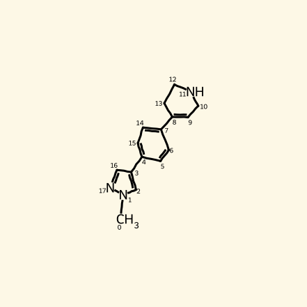 Cn1cc(-c2ccc(C3=CCNCC3)cc2)cn1